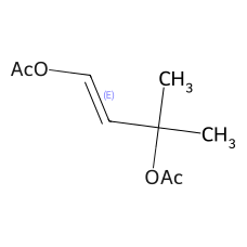 CC(=O)O/C=C/C(C)(C)OC(C)=O